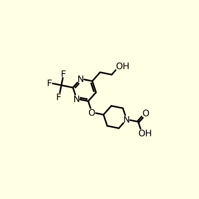 O=C(O)N1CCC(Oc2cc(CCO)nc(C(F)(F)F)n2)CC1